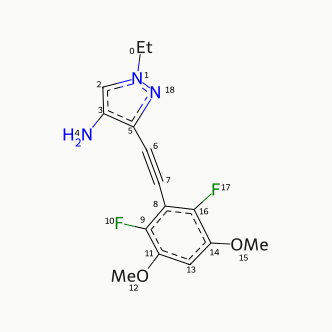 CCn1cc(N)c(C#Cc2c(F)c(OC)cc(OC)c2F)n1